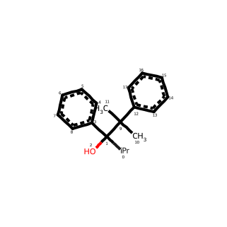 CC(C)C(O)(c1ccccc1)C(C)(C)c1ccccc1